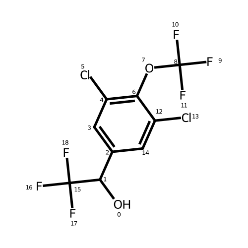 OC(c1cc(Cl)c(OC(F)(F)F)c(Cl)c1)C(F)(F)F